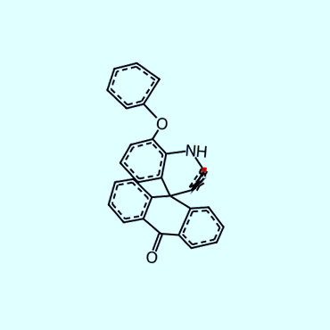 O=C1c2ccccc2C2(c3ccccc3Nc3c(Oc4ccccc4)cccc32)c2ccccc21